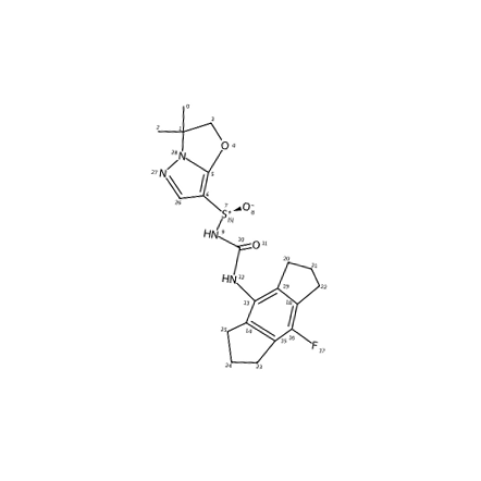 CC1(C)COc2c([S@@+]([O-])NC(=O)Nc3c4c(c(F)c5c3CCC5)CCC4)cnn21